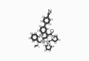 CC[C@@H](Nc1cc(C(=O)N2CCC[C@H]2CN2CCCC2)c2cc(-c3ccc(C#N)cc3)ccc2n1)c1ccccc1